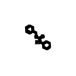 O=C(N[C]1CCCCC1)OCc1ccccc1